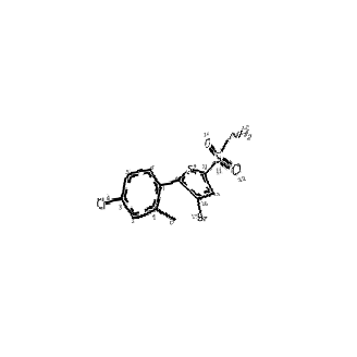 Cc1cc(Cl)ccc1-c1sc(S(N)(=O)=O)cc1Br